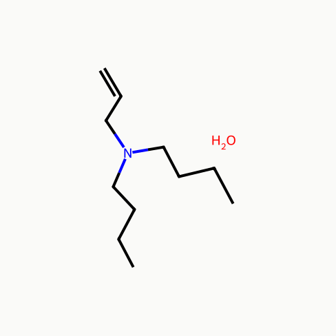 C=CCN(CCCC)CCCC.O